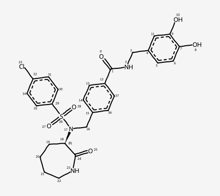 O=C(NCc1ccc(O)c(O)c1)c1ccc(CN([C@@H]2CCCCNC2=O)S(=O)(=O)c2ccc(Cl)cc2)cc1